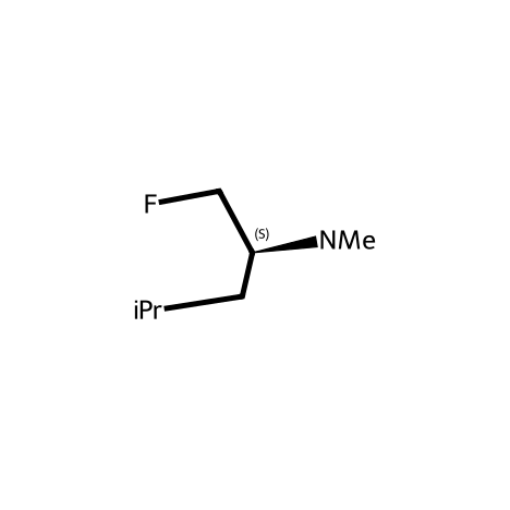 CN[C@H](CF)CC(C)C